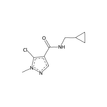 Cn1ncc(C(=O)NCC2CC2)c1Cl